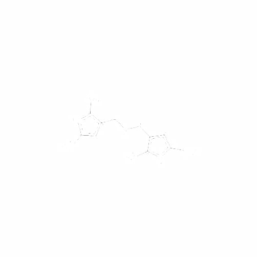 Cc1oc(C(=O)O)cc1CSCc1cc(C(=O)O)oc1C